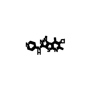 Cc1nc2sc3c(Nc4ccncc4)nn(C)c3c2c(C)c1Cl